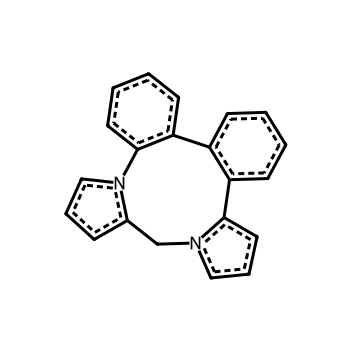 c1ccc2c(c1)-c1ccccc1-n1cccc1Cn1cccc1-2